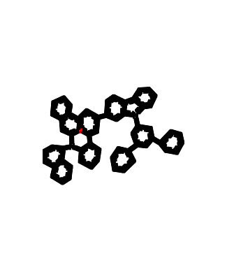 c1ccc(-c2cc(-c3ccccc3)cc(-n3c4ccccc4c4ccc(-c5cccc(-c6ccccc6N(c6ccc7ccccc7c6)c6cccc7ccccc67)c5)cc43)c2)cc1